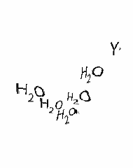 O.O.O.O.O.[Y]